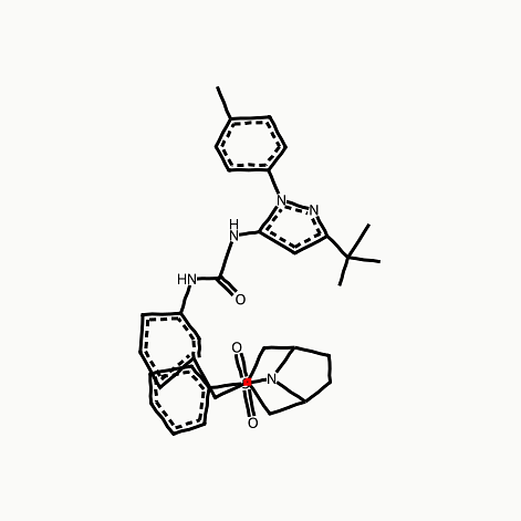 Cc1ccc(-n2nc(C(C)(C)C)cc2NC(=O)Nc2cccc(CC3CC4CCC(C3)N4S(=O)(=O)c3ccccc3)c2)cc1